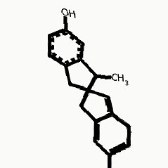 CC1c2cc(O)ccc2CC12C=C1CC=C(O)C=C1C2